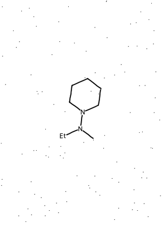 CCN(C)N1CCCCC1